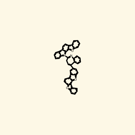 C1=C(c2ccc3oc4c(ccc5oc6ccccc6c54)c3c2)c2ccccc2N=C(n2c3ccccc3c3ccc4c5ccccc5oc4c32)C1